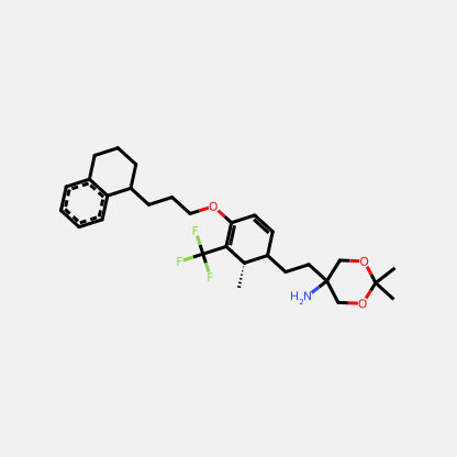 C[C@@H]1C(C(F)(F)F)=C(OCCCC2CCCc3ccccc32)C=CC1CCC1(N)COC(C)(C)OC1